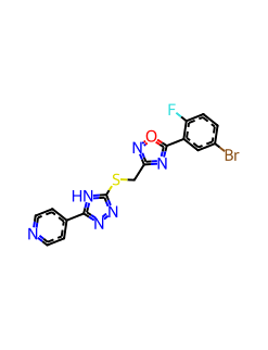 Fc1ccc(Br)cc1-c1nc(CSc2nnc(-c3ccncc3)[nH]2)no1